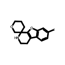 Ic1ccc2c3c(oc2c1)C1(CCCOC1)NCC3